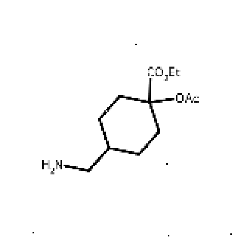 CCOC(=O)C1(OC(C)=O)CCC(CN)CC1